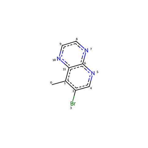 Cc1c(Br)cnc2nccnc12